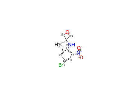 CC1(Nc2ccc(Br)cc2[N+](=O)[O-])COC1